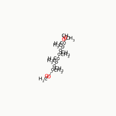 C=CC(=O)OCCCCc1ccc2c(c1)C(C)(C)c1cc(-c3ccc4c(c3)C(C)(C)c3cc(-c5ccc6c(c5)C(C)(C)c5cc(-c7ccc8c(c7)C(C)(C)c7cc(C(CCC)OC(=O)CC)ccc7-8)ccc5-6)ccc3-4)ccc1-2